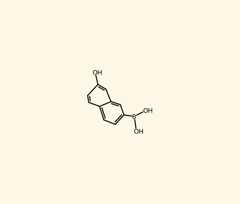 OB(O)c1ccc2ccc(O)cc2c1